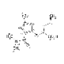 C=CCC(Sc1nc(CCCC)nn1C(=O)N(C)C)C(=O)O